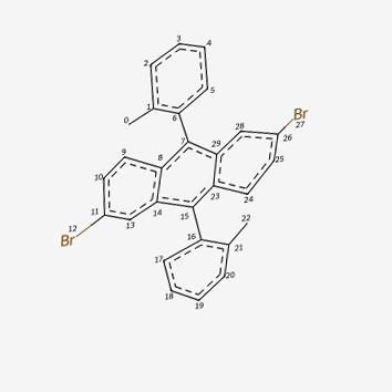 Cc1ccccc1-c1c2ccc(Br)cc2c(-c2ccccc2C)c2ccc(Br)cc12